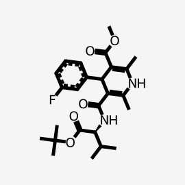 COC(=O)C1=C(C)NC(C)=C(C(=O)N[C@H](C(=O)OC(C)(C)C)C(C)C)C1c1cccc(F)c1